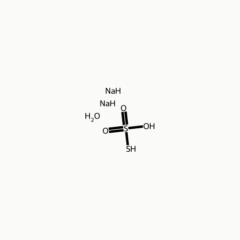 O.O=S(=O)(O)S.[NaH].[NaH]